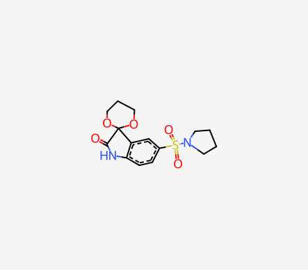 O=C1Nc2ccc(S(=O)(=O)N3CCCC3)cc2C12OCCCO2